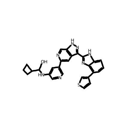 OC(Nc1cncc(-c2cc3c(-c4nc5c(-c6ccsc6)cccc5[nH]4)n[nH]c3cn2)c1)C1CCC1